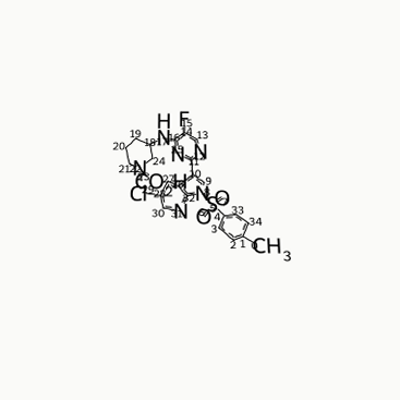 Cc1ccc(S(=O)(=O)n2cc(-c3ncc(F)c(NC4CCCN(C(=O)O)C4)n3)c3cc(Cl)cnc32)cc1